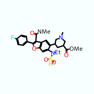 CCN(c1cc2oc(-c3ccc(F)cc3)c(C(=O)NC)c2cc1C1CC(C(=O)OC)CN(C)C1)[SH](=O)=O